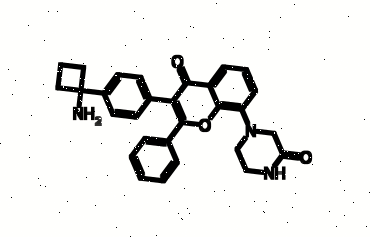 NC1(c2ccc(-c3c(-c4ccccc4)oc4c(N5CCNC(=O)C5)cccc4c3=O)cc2)CCC1